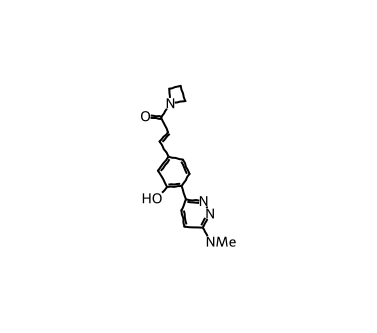 CNc1ccc(-c2ccc(/C=C/C(=O)N3CCC3)cc2O)nn1